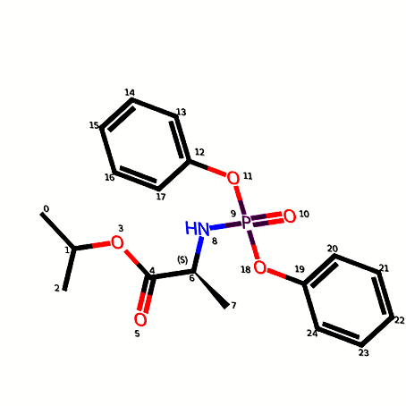 CC(C)OC(=O)[C@H](C)NP(=O)(Oc1ccccc1)Oc1ccccc1